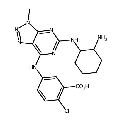 Cn1nnc2c(Nc3ccc(Cl)c(C(=O)O)c3)nc(NC3CCCCC3N)nc21